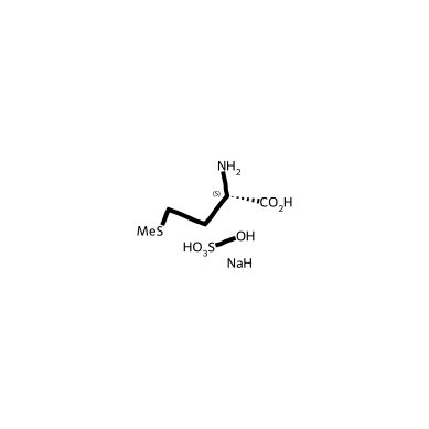 CSCC[C@H](N)C(=O)O.O=S(=O)(O)O.[NaH]